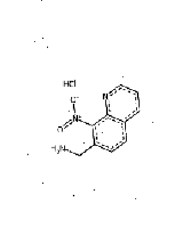 Cl.NCc1ccc2cccnc2c1[N+](=O)[O-]